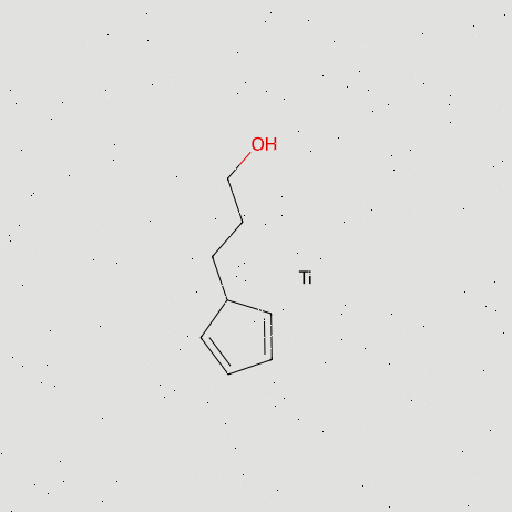 OCCCC1C=CC=C1.[Ti]